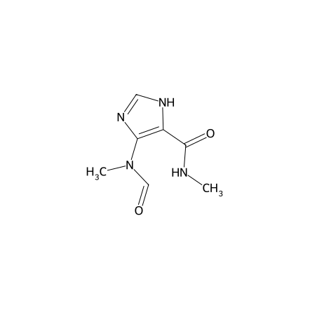 CNC(=O)c1[nH]cnc1N(C)C=O